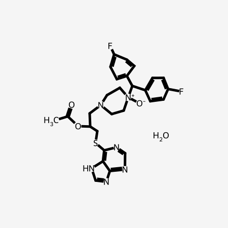 CC(=O)OC(CSc1ncnc2nc[nH]c12)CN1CC[N+]([O-])(C(c2ccc(F)cc2)c2ccc(F)cc2)CC1.O